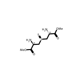 COC(=O)[C@@H](N)CS(=S)C[C@H](N)C(=O)OC